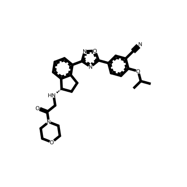 CC(C)Oc1ccc(-c2nc(-c3cccc4c3CC[C@@H]4NCC(=O)N3CCOCC3)no2)cc1C#N